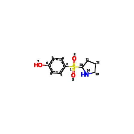 O=S(=O)(c1ccc(O)cc1)C1CCCN1